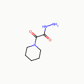 NNC(=O)C(=O)N1CCCCC1